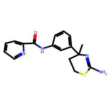 CC1(c2cccc(NC(=O)c3ccccn3)c2)CCSC(N)=N1